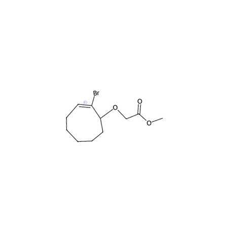 COC(=O)COC1CCCCC/C=C\1Br